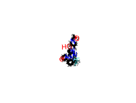 CC(=O)CN1CCC(Cn2ccc3c(N4CCOC[C@@H]4c4cccc(C(F)(F)F)c4)ncnc32)[C@@H](O)C1